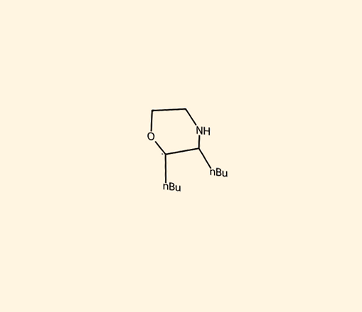 CCCC[C]1OCCNC1CCCC